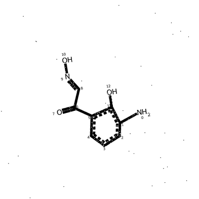 Nc1cccc(C(=O)C=NO)c1O